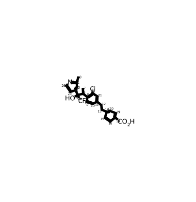 Cc1cc(C(O)(C(C)c2ccc(CCc3ccc(C(=O)O)cc3)cc2Cl)C(F)(F)F)ccn1